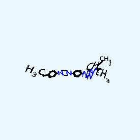 C=C1N(c2ccc(N3CCN(c4ccc(CC)cc4)CC3)cc2)C=NN1C(C)CCC